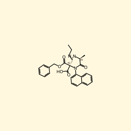 CCCC[C@](C(=O)O)(C(=O)OCc1ccccc1)N(C(=O)[C@H](C)N)c1cccc2ccccc12